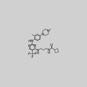 Cc1cc(N2CCN(C)CC2)ccc1Nc1ncc(C(F)(F)F)c(NCCCNC(=O)C2CCC2)n1